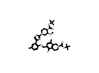 CO[C@H]1CN(c2nc(-c3cc(C)ccc3OCc3cc(C)c4c(c3F)CCN(C(=O)OC(C)(C)C)C4)cs2)CC[C@H]1C(=O)OC(C)(C)C